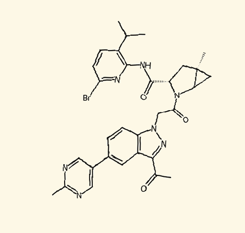 CC(=O)c1nn(CC(=O)N2C3C[C@]3(C)C[C@H]2C(=O)Nc2nc(Br)ccc2C(C)C)c2ccc(-c3cnc(C)nc3)cc12